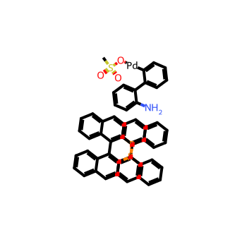 CS(=O)(=O)[O][Pd][c]1ccccc1-c1ccccc1N.c1ccc(P(c2ccccc2)c2ccc3ccccc3c2-c2c(P(c3ccccc3)c3ccccc3)ccc3ccccc23)cc1